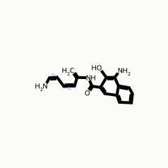 C=C(/C=C\C=C/N)NC(=O)c1cc2ccccc2c(N)c1O